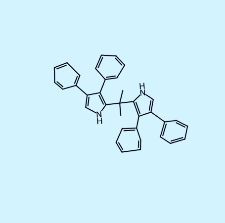 CC(C)(c1[nH]cc(-c2ccccc2)c1-c1ccccc1)c1[nH]cc(-c2ccccc2)c1-c1ccccc1